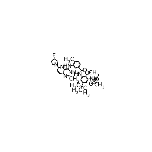 C=C/N=C1/C=CC(N2CC[C@@H](F)C2)=N/C1=C(/N)Nc1cc(C(=O)Nc2cc(C(C)(C)C)cc(NS(C)(=O)=O)c2OC)ccc1C